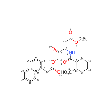 CC(C)(C)OC(=O)CC(NC(=O)C1CCCCC1C(=O)O)C(=O)COC(=O)Cc1cccc2ccccc12